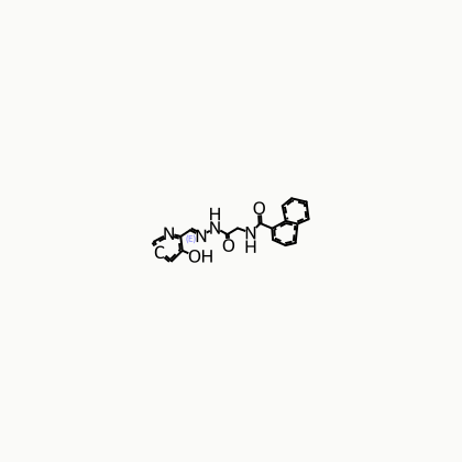 O=C(CNC(=O)c1cccc2ccccc12)N/N=C/c1ncccc1O